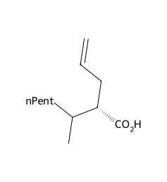 C=CC[C@H](C(=O)O)C(C)CCCCC